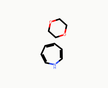 C1=CC=CNC=C1.C1COCCO1